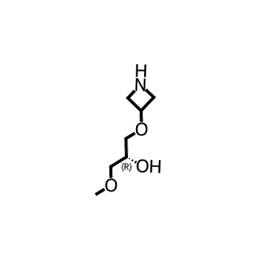 COC[C@@H](O)COC1CNC1